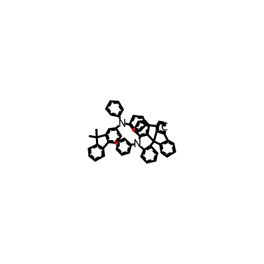 CC1(C)c2ccccc2-c2ccc(N(c3ccccc3)c3ccc(-c4cccc5c4C4(c6ccccc6-5)c5ccccc5N(c5ccccc5)c5ccccc54)cc3)cc21